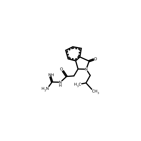 CC(C)CN1C(=O)c2ccccc2C1CC(=O)NC(=N)N